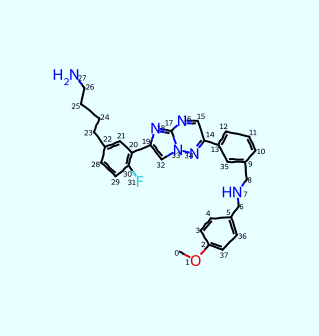 COc1ccc(CNCc2cccc(-c3cnc4nc(-c5cc(CCCCN)ccc5F)cn4n3)c2)cc1